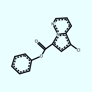 O=C(Oc1ccccc1)c1cc(Cl)c2cccnn12